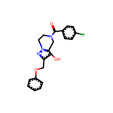 O=C(c1ccc(F)cc1)N1CCn2nc(COc3ccccc3)c(O)c2C1